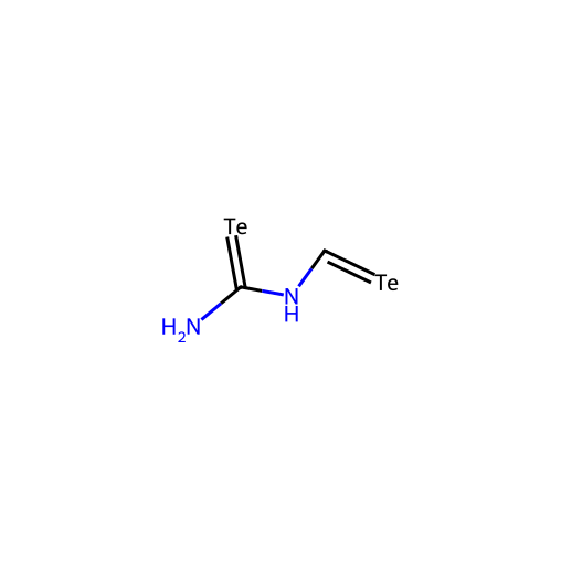 NC(=[Te])NC=[Te]